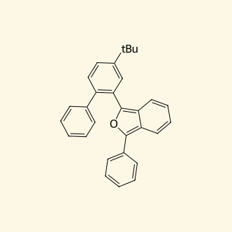 CC(C)(C)c1ccc(-c2ccccc2)c(-c2oc(-c3ccccc3)c3ccccc23)c1